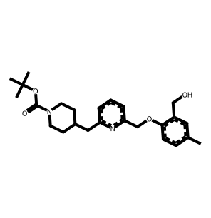 Cc1ccc(OCc2cccc(CC3CCN(C(=O)OC(C)(C)C)CC3)n2)c(CO)c1